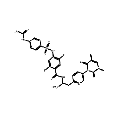 Cc1cn(C)c(=O)n(-c2ccc(C[C@H](NC(=O)c3cc(F)c(NS(=O)(=O)c4ccc(NC(=O)C(C)(C)C)cc4)cc3F)C(=O)O)nc2)c1=O